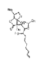 C=CCCCCCC(O)C1OC(O)CC1C1(O)C(=O)OC2C(O)COC21O